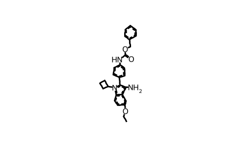 CCOc1ccc2c(c1)c(N)c(-c1ccc(NC(=O)OCc3ccccc3)cc1)n2C1CCC1